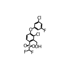 O=S(=O)(c1ccc(Oc2cc(F)cc(Cl)c2)c(Cl)c1CO)C(F)F